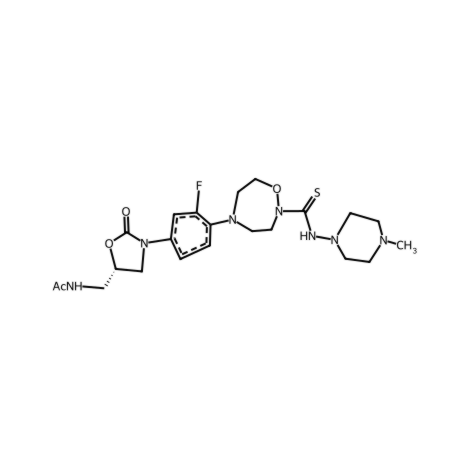 CC(=O)NC[C@H]1CN(c2ccc(N3CCON(C(=S)NN4CCN(C)CC4)CC3)c(F)c2)C(=O)O1